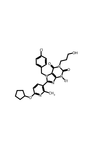 CCn1c(=O)n(CCCO)c(=O)c2c1nc(-c1ccc(OC3CCCC3)nc1C)n2Cc1ccc(Cl)cc1